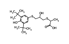 CC(SCC(O)CSc1cc(C(C)(C)C)c(O)c(C(C)(C)C)c1)C(=O)O